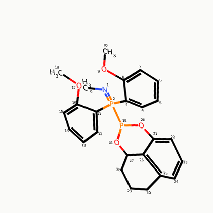 CN=P(c1ccccc1OC)(c1ccccc1OC)P1Oc2cccc3c2C(CCC3)O1